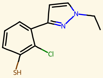 CCn1ccc(-c2cccc(S)c2Cl)n1